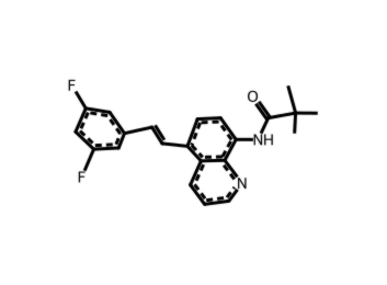 CC(C)(C)C(=O)Nc1ccc(C=Cc2cc(F)cc(F)c2)c2cccnc12